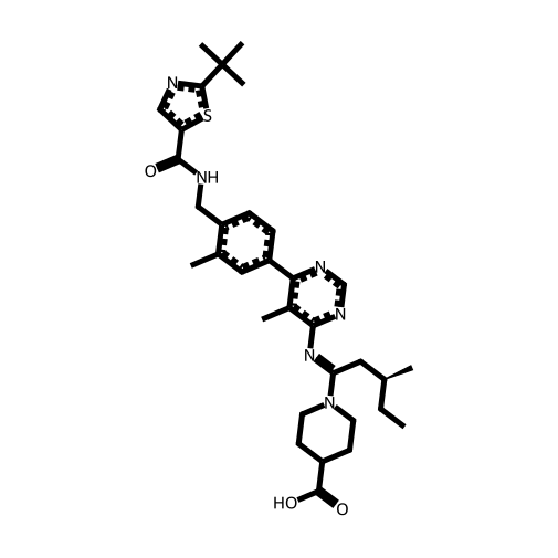 CC[C@H](C)C/C(=N\c1ncnc(-c2ccc(CNC(=O)c3cnc(C(C)(C)C)s3)c(C)c2)c1C)N1CCC(C(=O)O)CC1